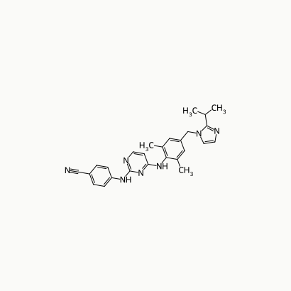 Cc1cc(Cn2ccnc2C(C)C)cc(C)c1Nc1ccnc(Nc2ccc(C#N)cc2)n1